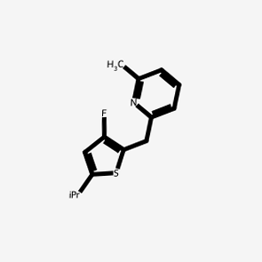 Cc1cccc(Cc2sc(C(C)C)cc2F)n1